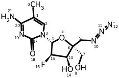 Cc1cn([C@@H]2O[C@@](CO)(CN=[N+]=[N-])[C@@H](O)[C@H]2F)c(=O)nc1N